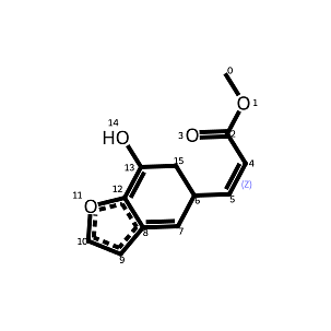 COC(=O)/C=C\C1C=c2ccoc2=C(O)C1